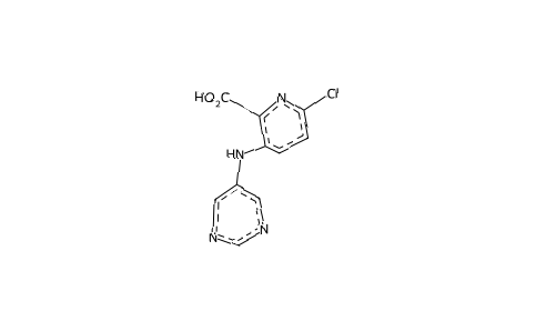 O=C(O)c1nc(Cl)ccc1Nc1cncnc1